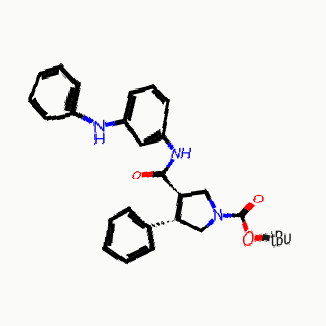 CC(C)(C)OC(=O)N1C[C@H](C(=O)Nc2cccc(Nc3ccccc3)c2)[C@@H](c2ccccc2)C1